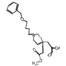 COC(=O)CC1(CC(=O)O)CCN(CCCCOCc2ccccc2)CC1